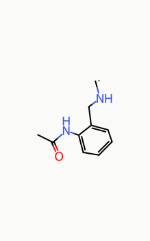 [CH2]NCc1ccccc1NC(C)=O